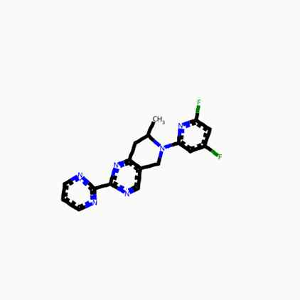 CC1Cc2nc(-c3ncccn3)ncc2CN1c1cc(F)cc(F)n1